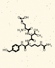 CC(C)[C@H](NC(=O)[C@H](N)CO[PH](=O)O)C(=O)N[C@@H](CCCNC(N)=O)C(=O)Nc1ccc(CO)cc1